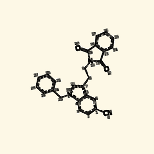 N#Cc1ccc2c(c1)c(CCN1C(=O)c3ccccc3C1=O)cn2Cc1ccccc1